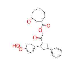 O=C1CCCCCC(C(=O)OCC(=O)C2C=C(c3ccccc3)CC2c2ccc(OO)cc2)C1